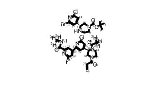 CC(C)(C)OC(=O)N1CCN[C@H](c2cc(Cl)nc(Br)c2)C1.[2H]C([2H])([2H])NC(=O)c1cc(-c2cc([C@@H]3CN(C(=O)C=C)CCN3C(=O)C([2H])([2H])[2H])cc(Cl)n2)cc(F)n1